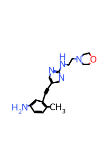 Cc1ccc(N)cc1C#Cc1cnc(NCCN2CCOCC2)nc1